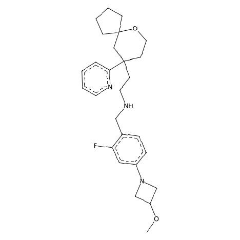 COC1CN(c2ccc(CNCCC3(c4ccccn4)CCOC4(CCCC4)C3)c(F)c2)C1